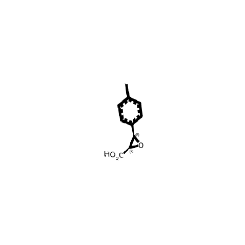 Cc1ccc([C@H]2O[C@H]2C(=O)O)cc1